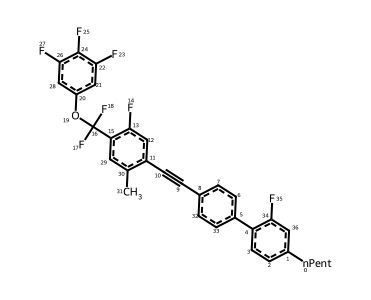 CCCCCc1ccc(-c2ccc(C#Cc3cc(F)c(C(F)(F)Oc4cc(F)c(F)c(F)c4)cc3C)cc2)c(F)c1